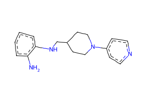 Nc1ccccc1NCC1CCN(c2ccncc2)CC1